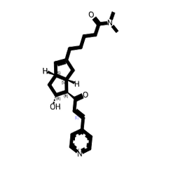 CN(C)C(=O)CCCCC1=C[C@H]2C[C@@H](O)[C@H](C(=O)/C=C/c3ccncc3)[C@H]2C1